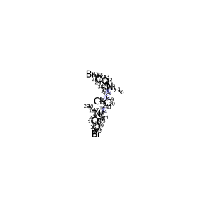 CCCCN1/C(=C/C=C2\CCCC(/C=C/C3=[N+](CCCC)c4ccc5cc(Br)ccc5c4C3(C)C)=C2Cl)C(C)(C)c2c1ccc1cc(Br)ccc21